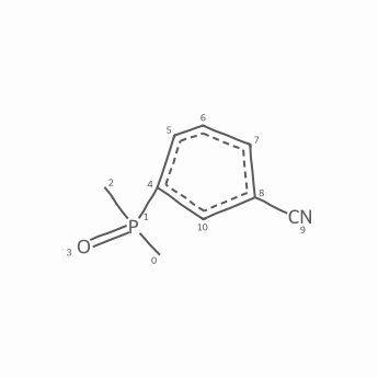 CP(C)(=O)c1cccc(C#N)c1